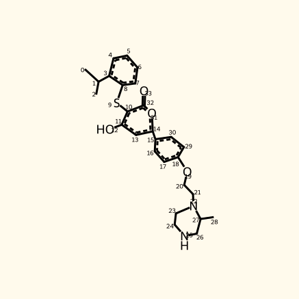 CC(C)c1ccccc1Sc1c(O)cc(-c2ccc(OCCN3CCNCC3C)cc2)oc1=O